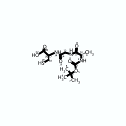 C[C@H](NC(=O)OC(C)(C)C)C(=O)NCC(=O)N[C@@H](CS)C(=O)O